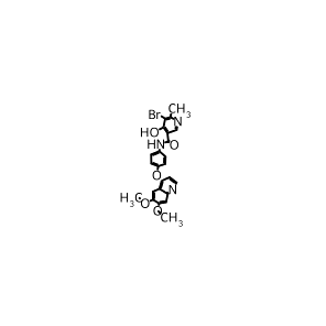 COc1cc2nccc(Oc3ccc(NC(=O)c4cnc(C)c(Br)c4O)cc3)c2cc1OC